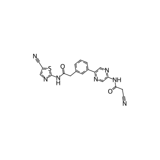 N#CCC(=O)Nc1cnc(-c2cccc(CC(=O)Nc3ncc(C#N)s3)c2)cn1